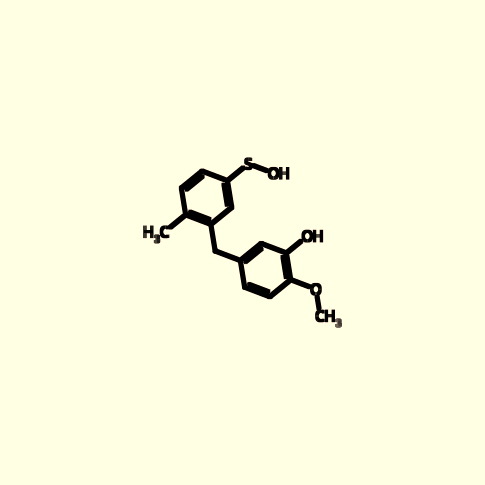 COc1ccc(Cc2cc(SO)ccc2C)cc1O